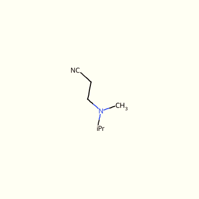 CC(C)N(C)CCC#N